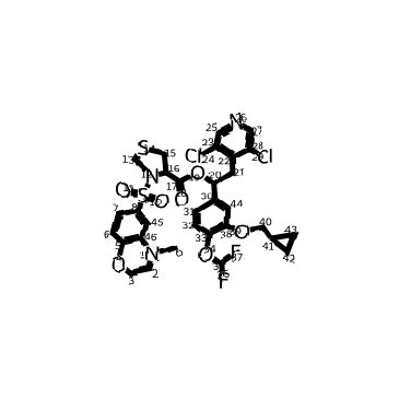 CN1CCOc2ccc(S(=O)(=O)N3CSCC3C(=O)OC(Cc3c(Cl)cncc3Cl)c3ccc(OC(F)F)c(OCC4CC4)c3)cc21